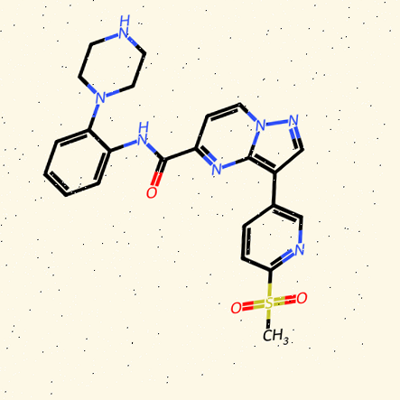 CS(=O)(=O)c1ccc(-c2cnn3ccc(C(=O)Nc4ccccc4N4CCNCC4)nc23)cn1